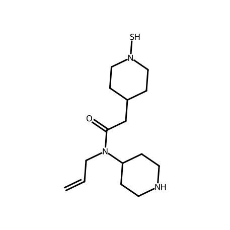 C=CCN(C(=O)CC1CCN(S)CC1)C1CCNCC1